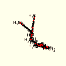 CCCCCCCCCCCCCCCCCCOC[C@H](COC(=O)NCCOCC(C)(C)OCCCNC(=O)CC[C@@H](NC(=O)c1ccc(N(Cc2cnc3nc(NC(=O)C(C)C)[nH]c(=O)c3n2)C(=O)C(F)(F)F)cc1)C(=O)OC)OCCCCCCCCCCCCCCCCCC